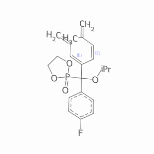 C=C/C=C(\C=C/C(=C)C)C(OC(C)C)(c1ccc(F)cc1)P1(=O)OCCO1